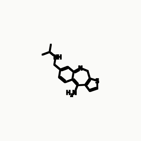 CC(C)NCc1ccc2c(c1)=NCc1sccc1C=2N